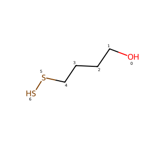 OCCCCSS